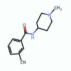 CN1CCC(NC(=O)c2cccc(C#N)c2)CC1